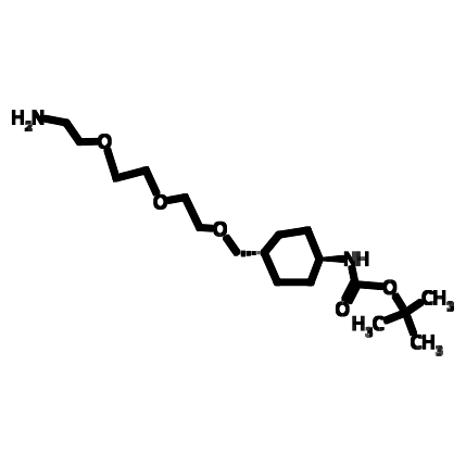 CC(C)(C)OC(=O)N[C@H]1CC[C@H](COCCOCCOCCN)CC1